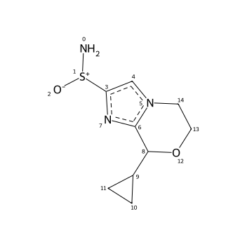 N[S+]([O-])c1cn2c(n1)C(C1CC1)OCC2